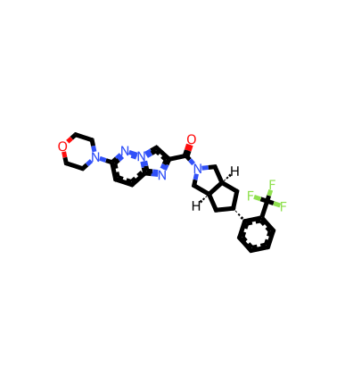 O=C(c1cn2nc(N3CCOCC3)ccc2n1)N1C[C@H]2C[C@H](c3ccccc3C(F)(F)F)C[C@H]2C1